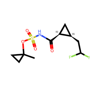 CC1(OS(=O)(=O)NC(=O)[C@H]2C[C@H]2CC(F)F)CC1